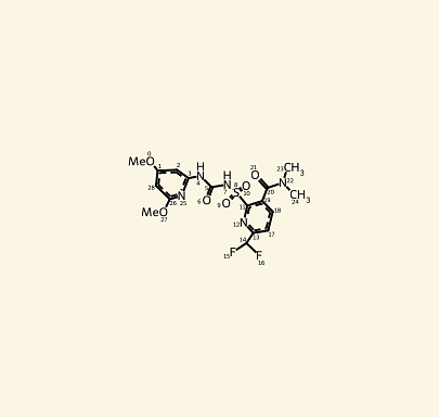 COc1cc(NC(=O)NS(=O)(=O)c2nc(C(F)F)ccc2C(=O)N(C)C)nc(OC)c1